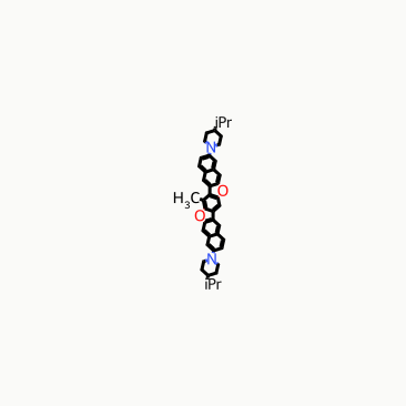 Cc1c2oc3cc4cc(N5CCC(C(C)C)CC5)ccc4cc3c2cc2oc3cc4cc(N5CCC(C(C)C)CC5)ccc4cc3c12